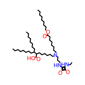 CCCCCCCCCOC(=O)CCCCCCCN(CCCCCCC(C(=O)O)C(CCCCCCCC)CCCCCCCC)CCCNc1c(NCC)c(=O)c1=O